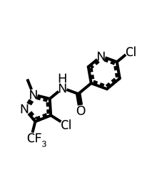 Cn1nc(C(F)(F)F)c(Cl)c1NC(=O)c1ccc(Cl)nc1